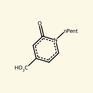 CCCCCn1ccc(C(=O)O)cc1=O